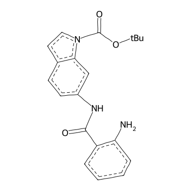 CC(C)(C)OC(=O)n1ccc2ccc(NC(=O)c3ccccc3N)cc21